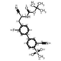 CC(C)(C)OC(=O)N[C@H](C#N)Cc1ccc(-c2ccc(S(C)(=O)=O)c(C#N)c2)cc1F